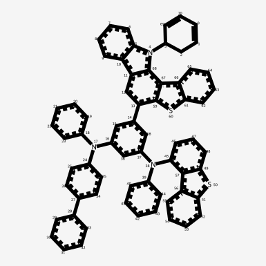 C1=CCC(n2c3ccccc3c3cc(-c4cc(N(c5ccccc5)c5ccc(-c6ccccc6)cc5)cc(N(c5ccccc5)c5cccc6sc7ccccc7c56)c4)c4sc5ccccc5c4c32)C=C1